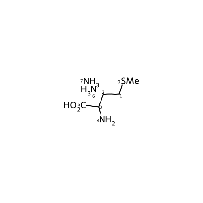 CSCCC(N)C(=O)O.N.N